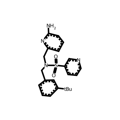 CC(C)(C)c1cccc(CN(Cc2cccc(N)n2)S(=O)(=O)c2cccnc2)c1